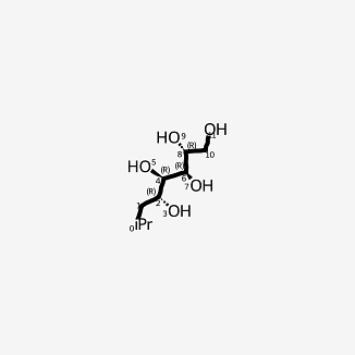 CC(C)C[C@@H](O)[C@@H](O)[C@H](O)[C@H](O)CO